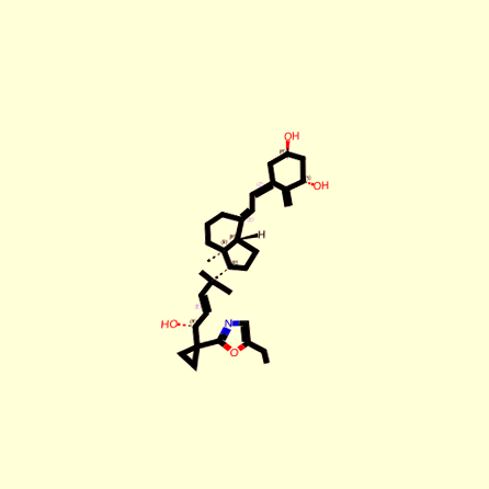 C=C1/C(=C\C=C2/CCC[C@]3(C)[C@@H](C(C)(C)/C=C/[C@@H](O)C4(c5ncc(CC)o5)CC4)CC[C@@H]23)C[C@@H](O)C[C@@H]1O